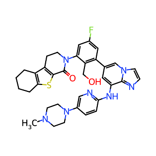 CN1CCN(c2ccc(Nc3cc(-c4cc(F)cc(N5CCc6c(sc7c6CCCC7)C5=O)c4CO)cn4ccnc34)nc2)CC1